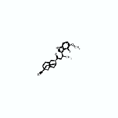 COc1ccc2[nH]cc(C(C)CC(=O)N3CC4CCC5(C#N)CC4CC3C5)c2c1F